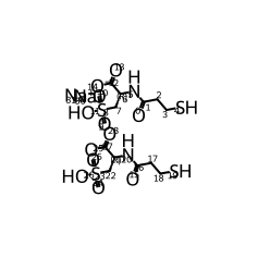 O=C(CCS)N[C@@H](CS(=O)(=O)O)C(=O)[O-].O=C(CCS)N[C@@H](CS(=O)(=O)O)C(=O)[O-].[Na+].[Na+]